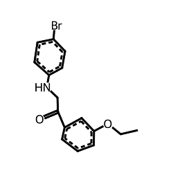 CCOc1cccc(C(=O)CNc2ccc(Br)cc2)c1